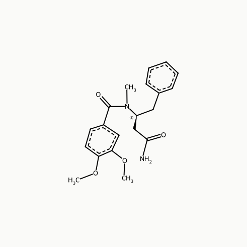 COc1ccc(C(=O)N(C)[C@H](CC(N)=O)Cc2ccccc2)cc1OC